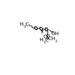 C=C(C)C(=O)OCCc1cc(-c2ccc(-c3ccc(CCCCC)cc3)cc2F)ccc1CCCO